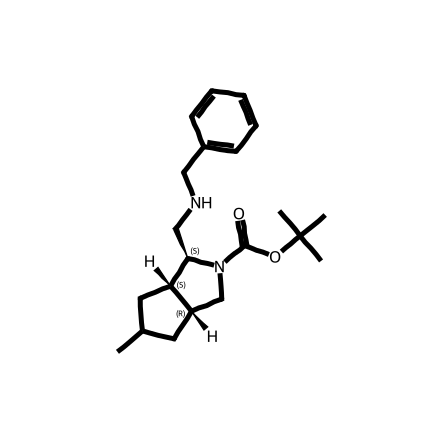 CC1C[C@H]2CN(C(=O)OC(C)(C)C)[C@H](CNCc3ccccc3)[C@H]2C1